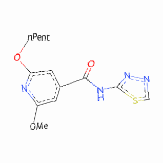 CCCCCOc1cc(C(=O)Nc2nncs2)cc(OC)n1